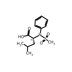 CC(C)C[C@@H](C(=O)O)N(c1ccccc1)S(C)(=O)=O